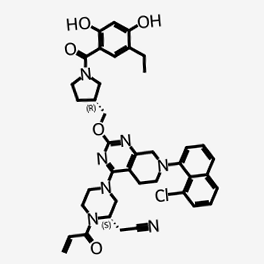 C=CC(=O)N1CCN(c2nc(OC[C@@H]3CCN(C(=O)c4cc(CC)c(O)cc4O)C3)nc3c2CCN(c2cccc4cccc(Cl)c24)C3)C[C@@H]1CC#N